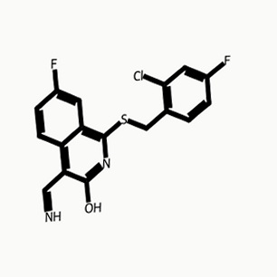 N=Cc1c(O)nc(SCc2ccc(F)cc2Cl)c2cc(F)ccc12